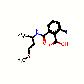 CSCCC(C)NC(=O)c1cccc(I)c1C(=O)O